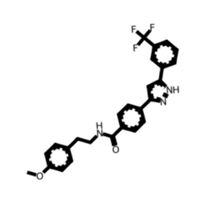 COc1ccc(CCNC(=O)c2ccc(-c3cc(-c4cccc(C(F)(F)F)c4)[nH]n3)cc2)cc1